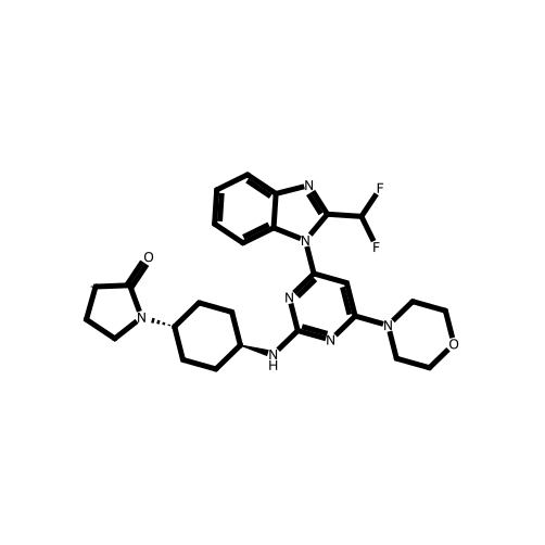 O=C1[CH]CCN1[C@H]1CC[C@H](Nc2nc(N3CCOCC3)cc(-n3c(C(F)F)nc4ccccc43)n2)CC1